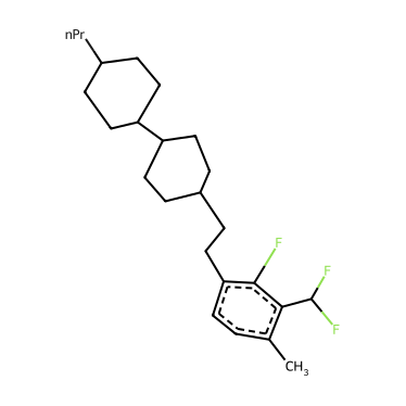 CCCC1CCC(C2CCC(CCc3ccc(C)c(C(F)F)c3F)CC2)CC1